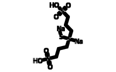 O=S(=O)(O)CCC[S]([Na])(CCCS(=O)(=O)O)[S][Na]